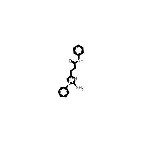 Nc1nc(CCC(=O)Nc2ccccc2)cn1-c1ccccc1